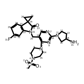 CS(=O)(=O)N1CCN(c2nc(N3CCC(N)C3)ncc2CN2C(=O)C3(CC3)c3ccc(F)cc32)CC1